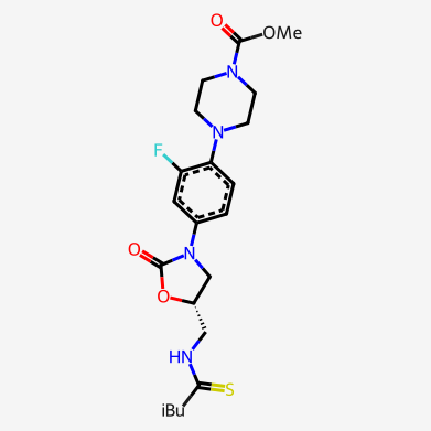 CCC(C)C(=S)NC[C@H]1CN(c2ccc(N3CCN(C(=O)OC)CC3)c(F)c2)C(=O)O1